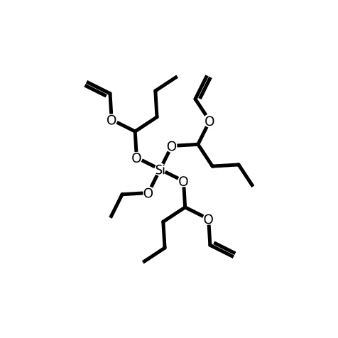 C=COC(CCC)O[Si](OCC)(OC(CCC)OC=C)OC(CCC)OC=C